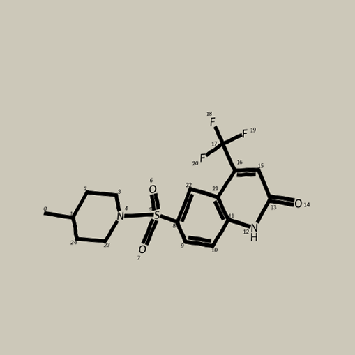 CC1CCN(S(=O)(=O)c2ccc3[nH]c(=O)cc(C(F)(F)F)c3c2)CC1